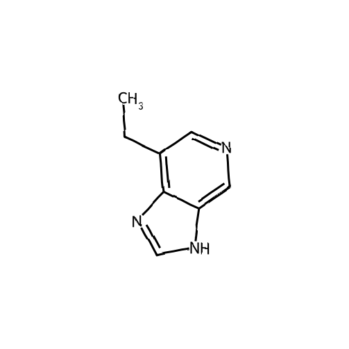 CCc1cncc2[nH]cnc12